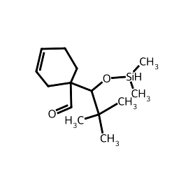 C[SiH](C)OC(C(C)(C)C)C1(C=O)CC=CCC1